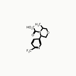 CC1COCC(c2ccc(C(F)(F)F)nc2)N1C(=O)C(=O)O